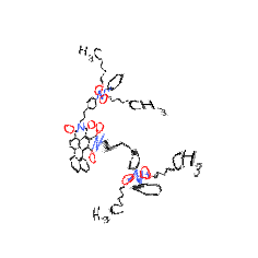 CCCCCCO[N+](OCCCCCC)(c1ccccc1)c1ccc(CCCN2C(=O)c3ccc4c5cccc6cccc(c65)c5c6c(=O)n(CCCc7ccc([N+](OCCCCCC)(OCCCCCC)c8ccccc8)cc7)c(=O)c6c(c3c45)C2=O)cc1